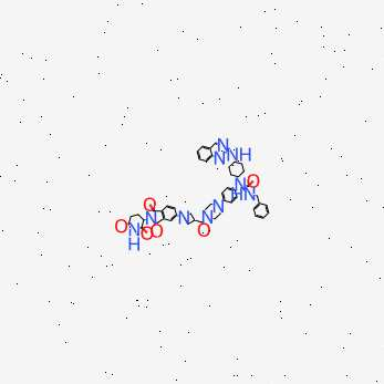 O=C1CCC(N2C(=O)c3ccc(N4CC(C(=O)N5CCN(c6ccc(N(C(=O)NCc7ccccc7)C7CCC(Nc8ncc9ccccc9n8)CC7)cc6)CC5)C4)cc3C2=O)C(=O)N1